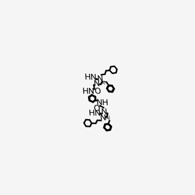 N=C1N(CC(=O)Nc2cccc(NC(=O)CN3C[C@H](Cc4ccccc4)N(CCCC4CCCCC4)C3=N)c2)C[C@H](Cc2ccccc2)N1CCCC1CCCCC1